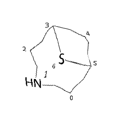 C1NCC2CC1S2